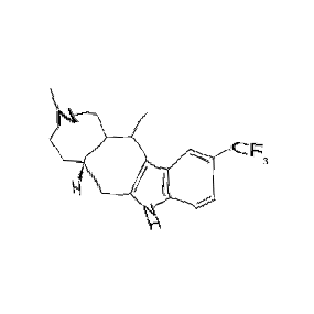 CC1c2c([nH]c3ccc(C(F)(F)F)cc23)C[C@@H]2CCN(C)CC12